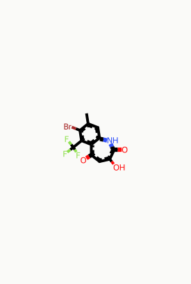 Cc1cc2[nH]c(=O)c(O)cc(=O)c2c(C(F)(F)F)c1Br